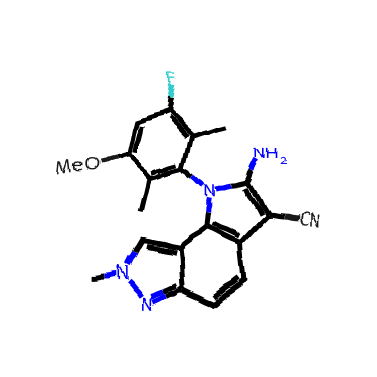 COc1cc(F)c(C)c(-n2c(N)c(C#N)c3ccc4nn(C)cc4c32)c1C